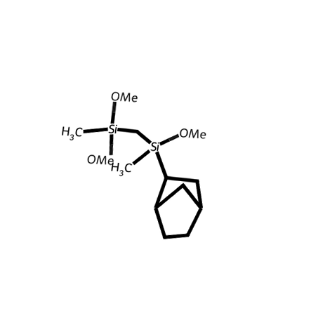 CO[Si](C)(C[Si](C)(OC)C1CC2CCC1C2)OC